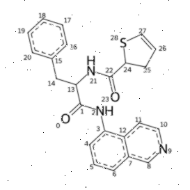 O=C(Nc1cccc2cnccc12)C(Cc1ccccc1)NC(=O)C1CC=CS1